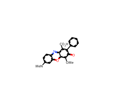 CNc1ccc2nc3c(C(=O)O)c(-c4ccccc4)c(=O)c(OC)c-3oc2c1